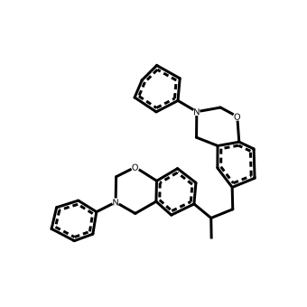 CC(Cc1ccc2c(c1)CN(c1ccccc1)CO2)c1ccc2c(c1)CN(c1ccccc1)CO2